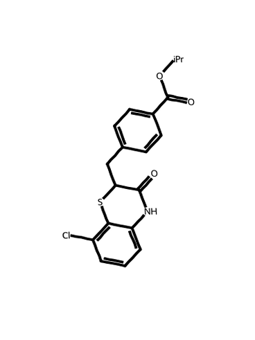 CC(C)OC(=O)c1ccc(CC2Sc3c(Cl)cccc3NC2=O)cc1